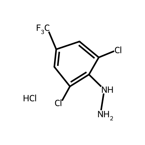 Cl.NNc1c(Cl)cc(C(F)(F)F)cc1Cl